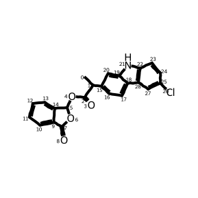 CC(C(=O)OC1OC(=O)c2ccccc21)c1ccc2c(c1)[nH]c1ccc(Cl)cc12